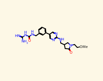 COCCN1CC(CNc2ncc(-c3cccc(CNC(=O)NC(=N)N)c3)cn2)CC1=O